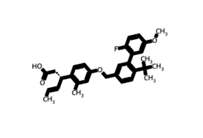 CC=C[C@H](CC(=O)O)c1ccc(OCc2ccc(C(C)(C)C)c(-c3cc(OC)ccc3F)c2)cc1C